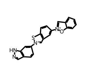 c1ccc2o[n+](-c3ccc4s[n+](-c5ccc6cn[nH]c6c5)cc4c3)cc2c1